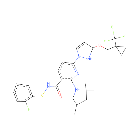 CC1CN(c2nc(N3C=CC(OCC4(C(F)(F)F)CC4)N3)ccc2C(=O)NSc2ccccc2F)C(C)(C)C1